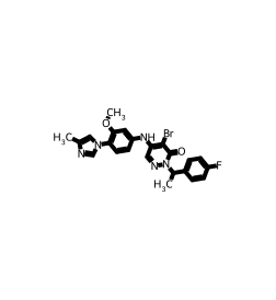 COc1cc(Nc2cnn(C(C)c3ccc(F)cc3)c(=O)c2Br)ccc1-n1cnc(C)c1